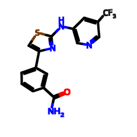 NC(=O)c1cccc(-c2csc(Nc3cncc(C(F)(F)F)c3)n2)c1